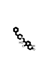 O=C1CCc2c(ccc(C(O)CN3CCC(Cc4ccccc4)CC3)c2Cl)N1